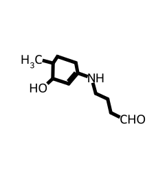 CC1CCC(NCCCC=O)=CC1O